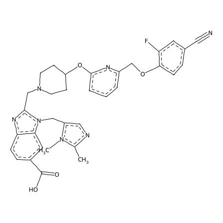 Cc1ncc(Cn2c(CN3CCC(Oc4cccc(COc5ccc(C#N)cc5F)n4)CC3)nc3ccc(C(=O)O)cc32)n1C